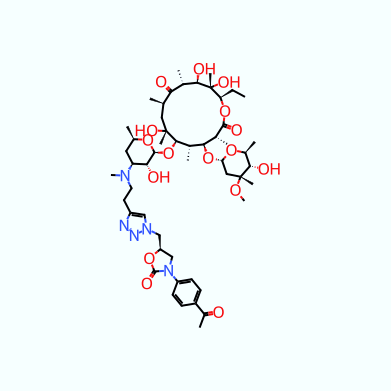 CC[C@H]1OC(=O)[C@H](C)[C@@H](O[C@H]2C[C@@](C)(OC)[C@@H](O)[C@H](C)O2)[C@H](C)[C@@H](O[C@@H]2O[C@H](C)C[C@H](N(C)CCc3cn(C[C@H]4CN(c5ccc(C(C)=O)cc5)C(=O)O4)nn3)[C@H]2O)[C@](C)(O)C[C@@H](C)C(=O)[C@H](C)[C@@H](O)[C@]1(C)O